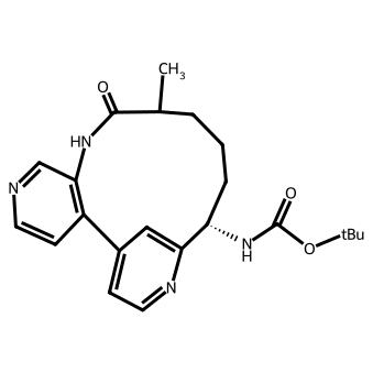 CC1CCC[C@H](NC(=O)OC(C)(C)C)c2cc(ccn2)-c2ccncc2NC1=O